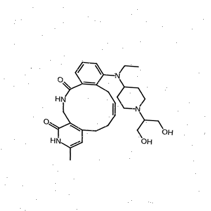 CCN(c1cccc2c1CC=CCCc1cc(C)[nH]c(=O)c1CNC2=O)C1CCN(C(CO)CO)CC1